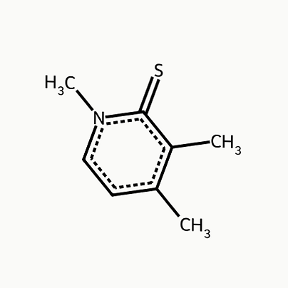 Cc1ccn(C)c(=S)c1C